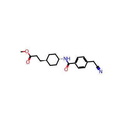 COC(=O)CC[C@H]1CC[C@H](NC(=O)c2ccc(CC#N)cc2)CC1